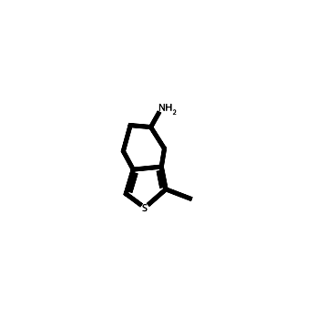 Cc1scc2c1CC(N)CC2